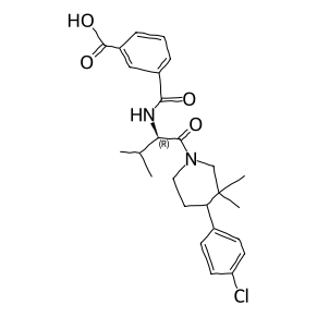 CC(C)[C@@H](NC(=O)c1cccc(C(=O)O)c1)C(=O)N1CCC(c2ccc(Cl)cc2)C(C)(C)C1